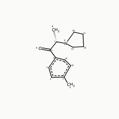 Cc1ccc(C(=O)[C@H](C)N2CCCC2)cc1